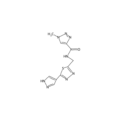 Cn1cc(C(=O)NCc2nnc(-c3cn[nH]c3)s2)nn1